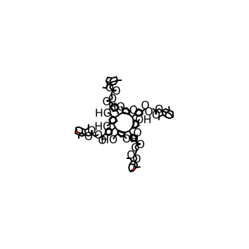 CCC1C2CC3CC(C)(C2)CC1(OC(=O)COC(=O)c1ccc(C2c4cc(c(OC)cc4O)C(c4ccc(C(=O)OCC(=O)OC56CC7CC(CC(C)(C7)C5)C6CC)cc4)c4cc(c(OC)cc4O)C(c4ccc(C(=O)OCC(=O)OC56CC7CC(CC(C)(C7)C5)C6CC)cc4)c4cc(c(CO)cc4O)C(c4ccc(C(=O)OCC(=O)OC56CC7CC(CC(C)(C7)C5)C6CC)cc4)c4cc2c(CO)cc4O)cc1)C3